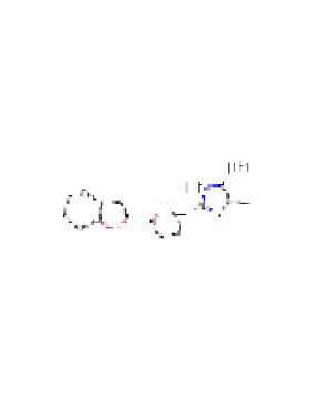 CCCc1[nH]c(-c2ccc(-c3cc4ccccc4o3)o2)nc1C